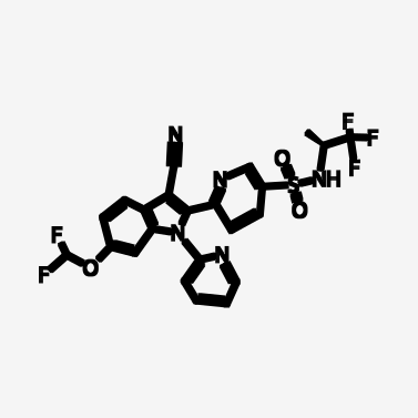 C[C@H](NS(=O)(=O)c1ccc(-c2c(C#N)c3ccc(OC(F)F)cc3n2-c2ccccn2)nc1)C(F)(F)F